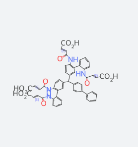 O=C(O)/C=C/C(=O)Nc1ccccc1-c1cc(C(c2ccc(-c3ccccc3)cc2)c2ccc(NC(=O)/C=C/C(=O)O)c(-c3ccccc3NC(=O)/C=C/C(=O)O)c2)ccc1NC(=O)/C=C/C(=O)O